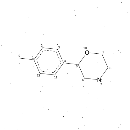 Cc1ccc(C2C[N]CCO2)cc1